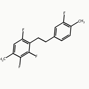 Cc1ccc(CCc2c(F)cc(C)c(F)c2F)cc1F